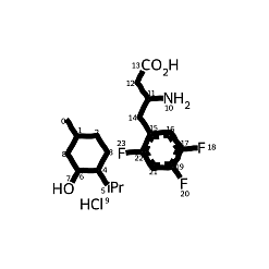 CC1CCC(C(C)C)C(O)C1.Cl.NC(CC(=O)O)Cc1cc(F)c(F)cc1F